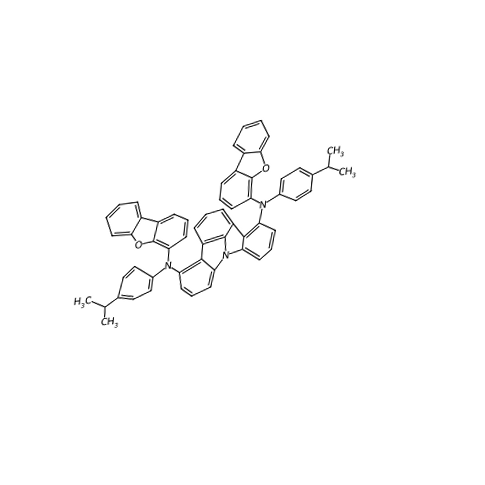 CC(C)c1ccc(N(c2cccc3c2oc2ccccc23)c2cccc3c2c2cccc4c5c(N(c6ccc(C(C)C)cc6)c6cccc7c6oc6ccccc67)cccc5n3c24)cc1